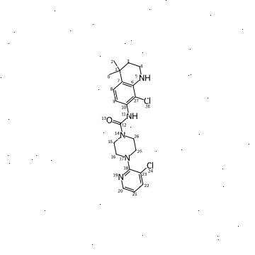 CC1(C)CCNc2c1ccc(NC(=O)N1CCN(c3ncccc3Cl)CC1)c2Cl